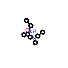 c1ccc(-c2ccc(N(c3ccccc3)c3ccc4c(c3)c3c(c5ccccc54)OC(c4cccc(-c5ccccc5)c4)N3)cc2)cc1